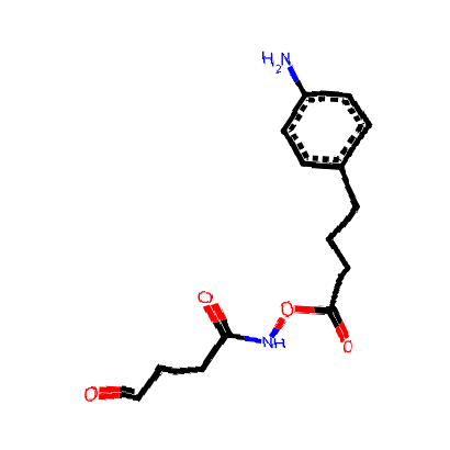 Nc1ccc(CCCC(=O)ONC(=O)CCC=O)cc1